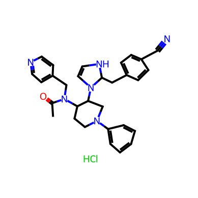 CC(=O)N(Cc1ccncc1)C1CCN(c2ccccc2)CC1N1C=CNC1Cc1ccc(C#N)cc1.Cl